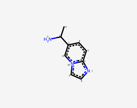 CC(N)c1ccc2nccn2c1